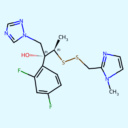 C[C@@H](SSCc1nccn1C)[C@](O)(Cn1cncn1)c1ccc(F)cc1F